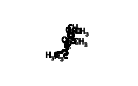 CCCCC([CH]OOC(=O)c1cc(OC)c(OC)cc1OC)CC